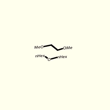 CCCCCCOCCCCCC.COCCOC